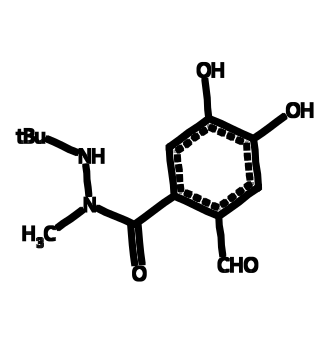 CN(NC(C)(C)C)C(=O)c1cc(O)c(O)cc1C=O